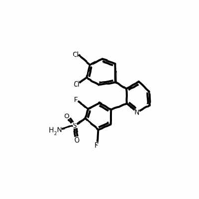 NS(=O)(=O)c1c(F)cc(-c2ncccc2-c2ccc(Cl)c(Cl)c2)cc1F